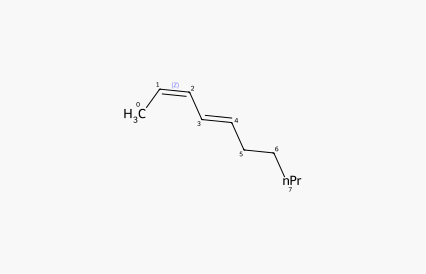 C/C=C\C=CCCCCC